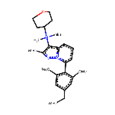 CCCC[N+](C)(c1c(OC)nn2c(-c3c(OC)cc(COC)cc3OC)cccc12)C1CCOCC1